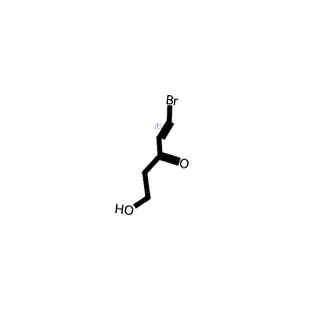 O=C(/C=C/Br)CCO